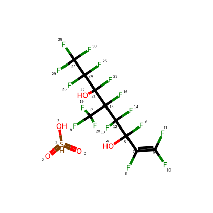 O=[SH](=O)O.OC(F)(C(F)=C(F)F)C(F)(F)C(F)(C(F)(F)F)C(O)(F)C(F)(F)C(F)(F)F